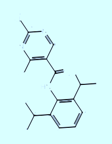 CC(C)c1cccc(C(C)C)c1NC(=O)c1cnc(Cl)nc1Cl